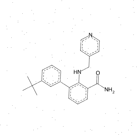 CC(C)(C)c1cccc(-c2cccc(C(N)=O)c2NCc2ccncc2)c1